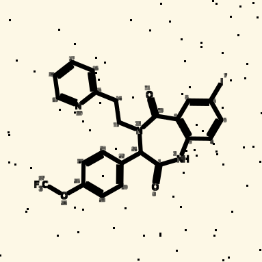 O=C1Nc2ccc(I)cc2C(=O)N(CCc2ccccn2)C1c1ccc(OC(F)(F)F)cc1